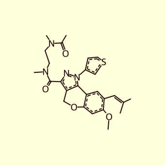 COc1cc2c(cc1C=C(C)C)-c1c(c(C(=O)N(C)CCN(C)C(C)=O)nn1-c1ccsc1)CO2